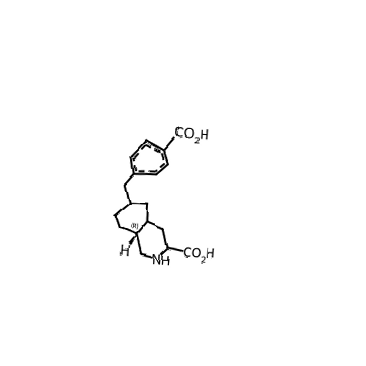 O=C(O)c1ccc(CC2CC[C@H]3CNC(C(=O)O)CC3C2)cc1